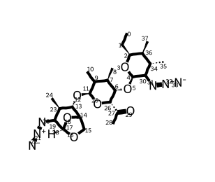 CC[C@@H]1O[C@H](O[C@H]2[C@H](C)C(C)[C@H](O[C@@H]3C4CO[C@H](O4)C(N=[N+]=[N-])[C@H]3C)O[C@H]2C(C)=O)C(N=[N+]=[N-])[C@@H](C)[C@@H]1C